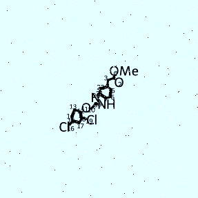 COC(=O)Cc1ccc2[nH]c(COc3ccc(Cl)cc3Cl)nc2c1